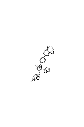 CN1CCN(Cc2cnn(-c3ccc(-c4ccc5c(c4)OCCO5)cc3)c2-c2ccco2)CC1